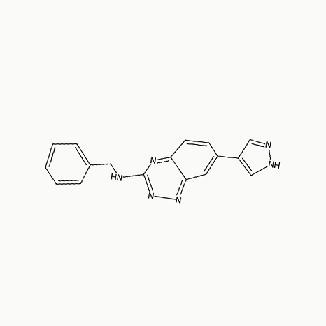 c1ccc(CNc2nnc3cc(-c4cn[nH]c4)ccc3n2)cc1